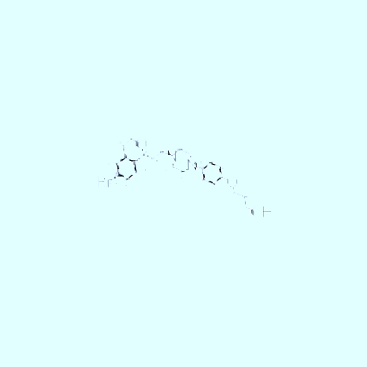 CCCCOc1ccc(N2CCN(CCC3OCCc4cc(Br)ccc43)CC2)cc1